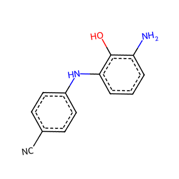 N#Cc1ccc(Nc2cccc(N)c2O)cc1